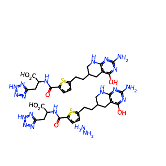 N.N.Nc1nc(O)c2c(n1)NCC(CCc1ccc(C(=O)NC(Cc3nn[nH]n3)C(=O)O)s1)C2.Nc1nc(O)c2c(n1)NCC(CCc1ccc(C(=O)NC(Cc3nn[nH]n3)C(=O)O)s1)C2